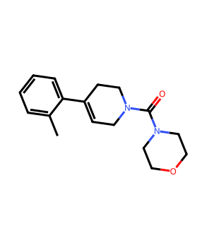 Cc1ccccc1C1=CCN(C(=O)N2CCOCC2)CC1